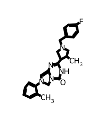 Cc1ccccc1N1C=C2N=C(C3CN(Cc4ccc(F)cc4)CC3C)NC(=O)N2C1